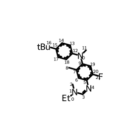 CCN(C)/C=N\c1cc(C)c(N(C)c2ccc(C(C)(C)C)cc2)cc1F